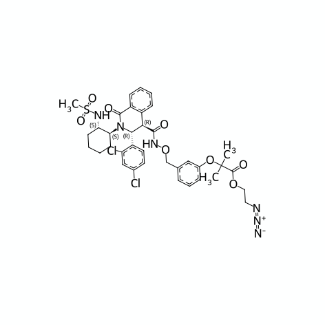 CC(C)(Oc1cccc(CONC(=O)[C@@H]2c3ccccc3C(=O)N([C@H]3CCCC[C@@H]3NS(C)(=O)=O)[C@H]2c2ccc(Cl)cc2Cl)c1)C(=O)OCCN=[N+]=[N-]